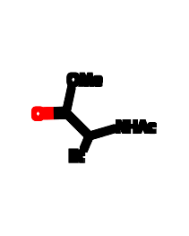 CCC(NC(C)=O)C(=O)OC